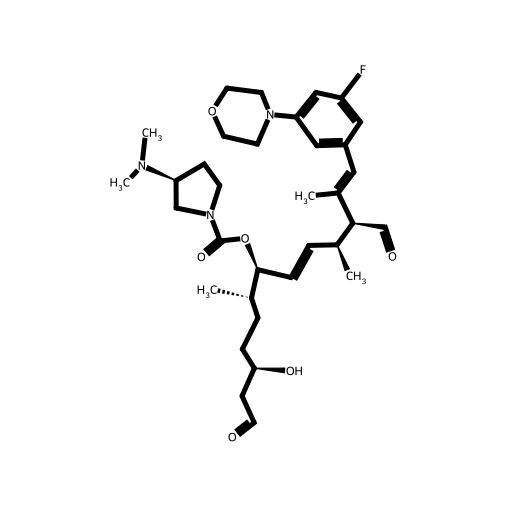 C/C(=C\c1cc(F)cc(N2CCOCC2)c1)[C@@H](C=O)[C@@H](C)/C=C/[C@H](OC(=O)N1CC[C@H](N(C)C)C1)[C@@H](C)CC[C@@H](O)CC=O